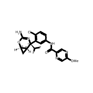 COc1cnc(C(=O)Nc2ccc(Cl)c([C@@]3(C(F)F)N=C(N)O[C@@H]4C[C@@H]43)c2)cn1